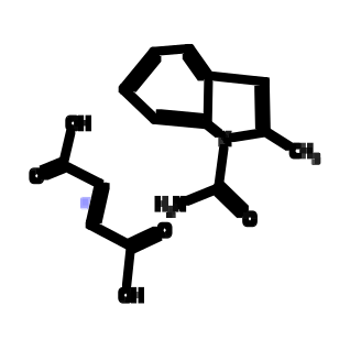 Cc1cc2ccccc2n1C(N)=O.O=C(O)/C=C/C(=O)O